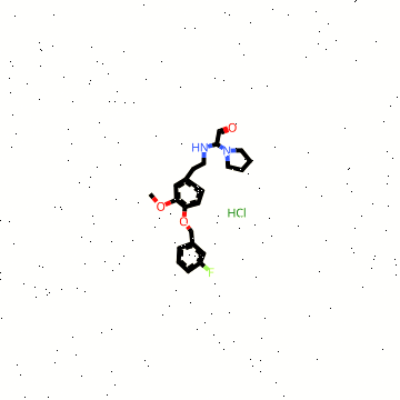 COc1cc(CCNC(C=O)N2CCCC2)ccc1OCc1cccc(F)c1.Cl